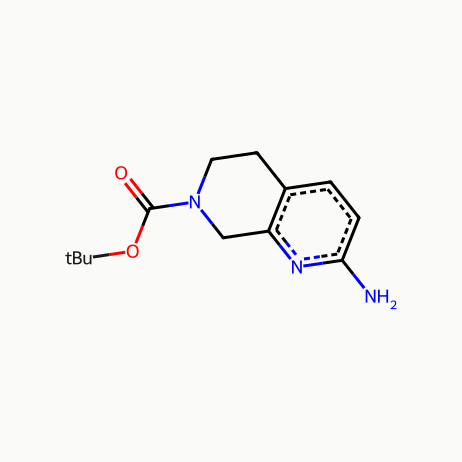 CC(C)(C)OC(=O)N1CCc2ccc(N)nc2C1